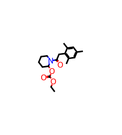 CCOC(=O)OC1CCCCN1C(=O)Cc1c(C)cc(C)cc1C